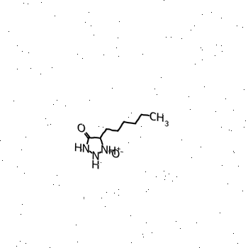 CCCCCCC1C(=O)NN[NH+]1[O-]